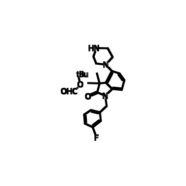 CC(C)(C)OC=O.CC1(C)C(=O)N(Cc2cccc(F)c2)c2cccc(N3CCNCC3)c21